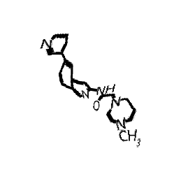 CN1CCCN(CC(=O)Nc2cc3cc(-c4cccnc4)ccc3cn2)CC1